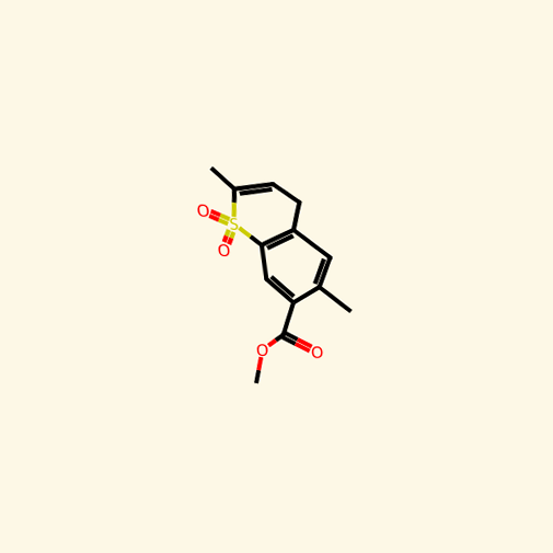 COC(=O)c1cc2c(cc1C)CC=C(C)S2(=O)=O